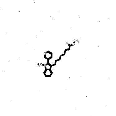 COC(=O)/C=C/CCCCCc1c(-c2cccnc2)n(C)c2ccccc12